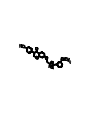 COc1cccc(-c2nnc(COc3ccc4c(=O)c(-c5ccc(O)cc5)coc4c3)o2)c1